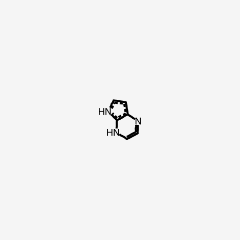 C1=CNc2[nH]ccc2N=1